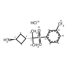 CC(C)([C@H]1C[C@H](N)C1)S(=O)(=O)c1cccc(C(F)(F)F)c1.Cl